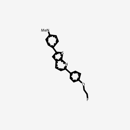 CNc1ccc(-c2cc3ccc(-c4ccc(OCCF)cc4)nc3s2)cc1